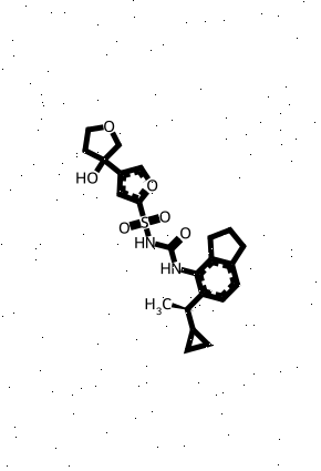 C[C@@H](c1ccc2c(c1NC(=O)NS(=O)(=O)c1cc(C3(O)CCOC3)co1)CCC2)C1CC1